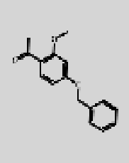 COc1cc(OCc2ccccc2)ccc1C(C)=O